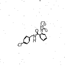 O=C(NCc1ccc(Cl)cc1)c1ccccc1NC(=O)C1CCCO1